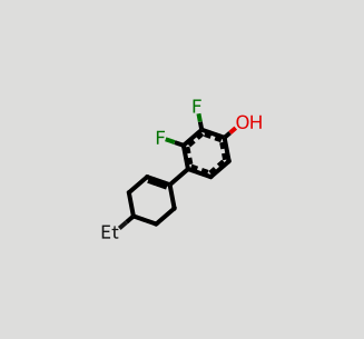 CCC1CC=C(c2ccc(O)c(F)c2F)CC1